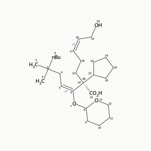 CCCCC(C)(C)C/C=C(/OC1CCCCO1)[C@](CC/C=C\CO)(C(=O)O)C1CCCC1